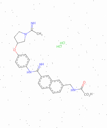 CC(=N)N1CCC(Oc2ccc(NC(=N)c3ccc4ccc(CNC(=O)C(=O)O)cc4c3)cc2)C1.Cl.Cl